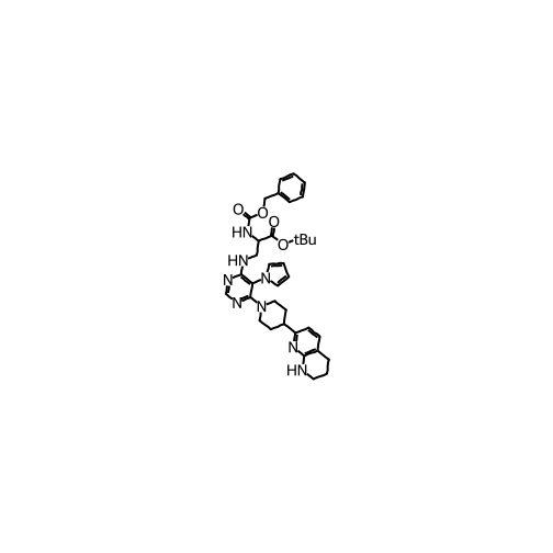 CC(C)(C)OC(=O)C(CNc1ncnc(N2CCC(c3ccc4c(n3)NCCC4)CC2)c1-n1cccc1)NC(=O)OCc1ccccc1